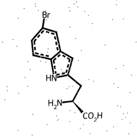 N[C@@H](Cc1cc2cc(Br)ccc2[nH]1)C(=O)O